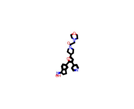 O=C(CN1CCOCC1)N1CCC(c2cc(-c3ccncc3)c(-c3ccc4c(c3)CCC4=NO)o2)CC1